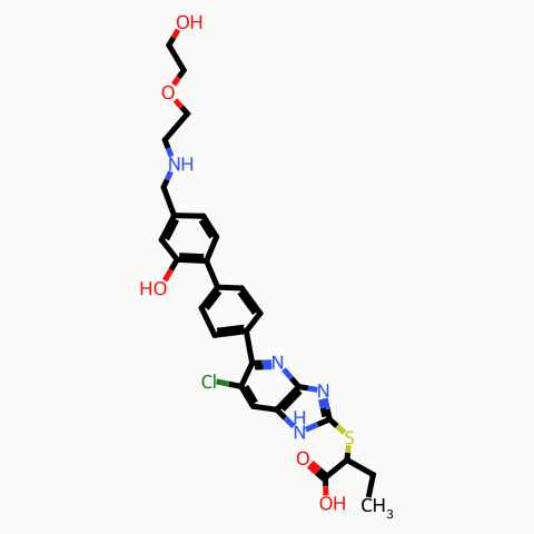 CCC(Sc1nc2nc(-c3ccc(-c4ccc(CNCCOCCO)cc4O)cc3)c(Cl)cc2[nH]1)C(=O)O